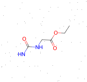 CCOC(=O)CNC([NH])=O